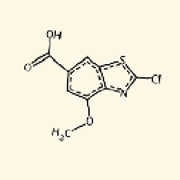 COc1cc(C(=O)O)cc2sc(Cl)nc12